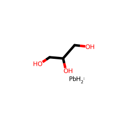 OCC(O)CO.[PbH2]